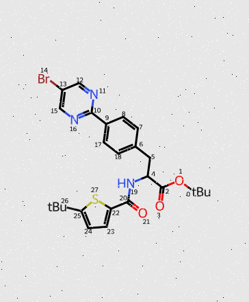 CC(C)(C)OC(=O)C(Cc1ccc(-c2ncc(Br)cn2)cc1)NC(=O)c1ccc(C(C)(C)C)s1